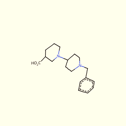 O=C(O)C1CCCN(C2CCN(Cc3ccccc3)CC2)C1